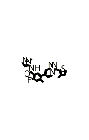 Cc1cc(F)c(C(=O)Nc2ccnn2C)cc1-c1ccn2c(-c3sccc3C)nnc2c1